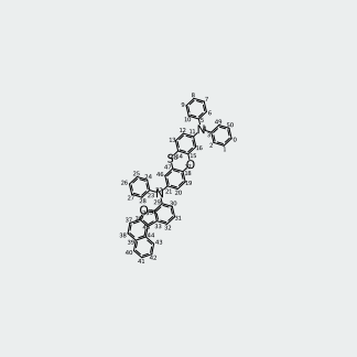 c1ccc(N(c2ccccc2)c2ccc3c(c2)Oc2ccc(N(c4ccccc4)c4cccc5c4oc4ccc6ccccc6c45)cc2S3)cc1